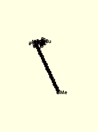 CCCC(C(C)C)N(C(=O)CCOCCOCCOCCOCCOCCOCCOCCOCCOCCOCCOCCOC)C(=O)NCC(=O)N(C)C(C(C)CC)C(CC)OC